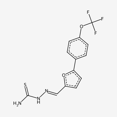 NC(=S)NN=Cc1ccc(-c2ccc(OC(F)(F)F)cc2)o1